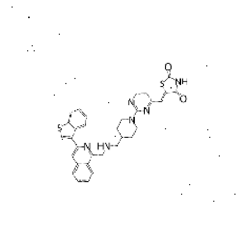 O=C1NC(=O)/C(=C/c2ccnc(N3CCC(CNCc4nc(-c5csc6ccccc56)cc5ccccc45)CC3)n2)S1